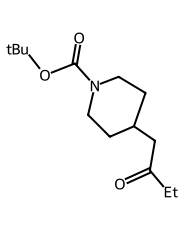 CCC(=O)CC1CCN(C(=O)OC(C)(C)C)CC1